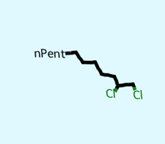 CCCCCCCCCCC(Cl)CCl